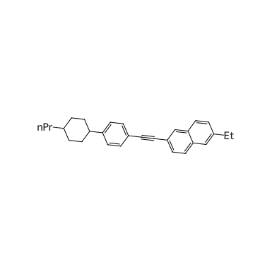 CCCC1CCC(c2ccc(C#Cc3ccc4cc(CC)ccc4c3)cc2)CC1